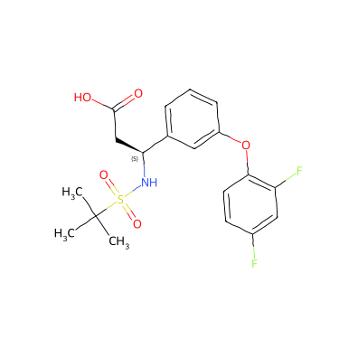 CC(C)(C)S(=O)(=O)N[C@@H](CC(=O)O)c1cccc(Oc2ccc(F)cc2F)c1